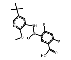 COc1ncc(C(C)(C)C)cc1N[S+]([O-])c1cc(C(=O)O)c(F)cc1F